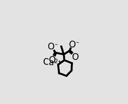 CC(C(=O)[O-])(C(=O)[O-])C1CCCCC1.[Ca+2]